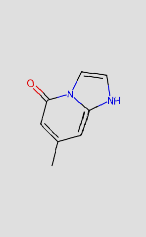 Cc1cc(=O)n2cc[nH]c2c1